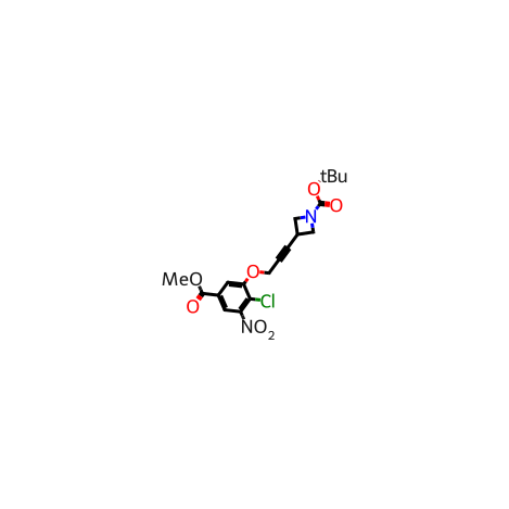 COC(=O)c1cc(OCC#CC2CN(C(=O)OC(C)(C)C)C2)c(Cl)c([N+](=O)[O-])c1